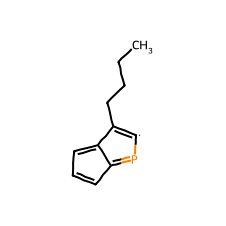 CCCCC1=[C]P=C2C=CC=C12